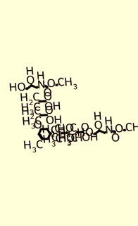 C=C(C)C(=O)O.C=C(C)C(=O)O.C=C(C)C(=O)O.C=C(C)C(=O)O.CC1=CC(=O)CC(C)(C)C1.CCOC(=O)NCC(O)CO.CCOC(=O)NCC(O)CO